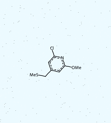 COc1cc(CSC)cc(Cl)n1